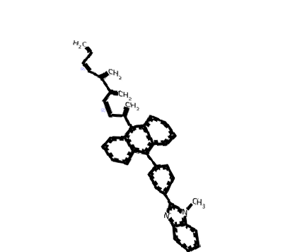 C=C/C=C\C(=C)C(=C)/C=C\C(=C)c1c2ccccc2c(-c2ccc(-c3nc4ccccc4n3C)cc2)c2ccccc12